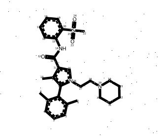 Cc1cccc(C)c1-c1c(C)c(C(=O)Nc2ccccc2S(C)(=O)=O)cn1CCN1CCCCC1